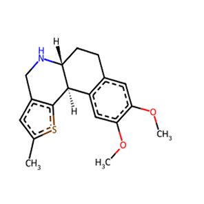 COc1cc2c(cc1OC)[C@H]1c3sc(C)cc3CN[C@@H]1CC2